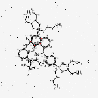 CCCC[Si](CCCC)(CCCC)c1ccc(P(c2ccccc2OC(F)(F)F)N(C(C)C)P(c2ccc([Si](CCCC)(CCCC)CCCC)cc2)c2ccccc2OC(F)(F)F)cc1